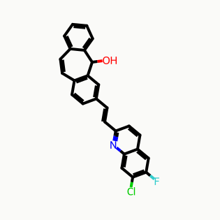 OC1c2ccccc2C=Cc2ccc(C=Cc3ccc4cc(F)c(Cl)cc4n3)cc21